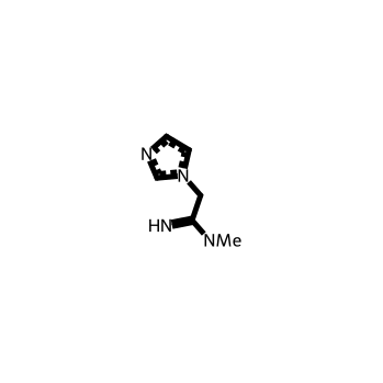 CNC(=N)Cn1ccnc1